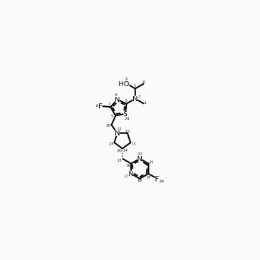 CC(O)N(C)c1nc(F)c(CN2CC[C@H](Cc3ncc(F)cn3)C2)s1